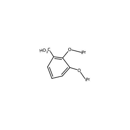 CC(C)Oc1cccc(C(=O)O)c1OC(C)C